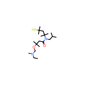 CCN(C)COC(C)(C)CC(=O)N(CC(C)C)C(C)(C)CC(C)(C)S